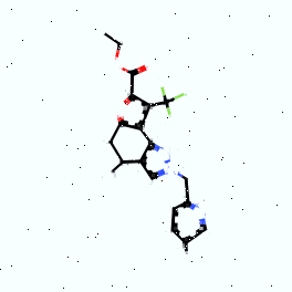 CCOC(=O)c1oc2c(c1C(F)(F)F)-c1nn(Cc3ccc(C)cn3)cc1C(C)C2